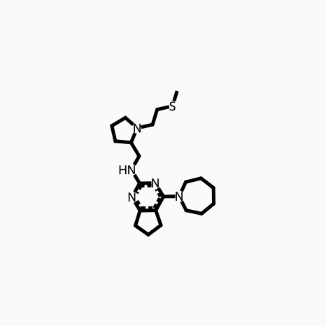 CSCCN1CCCC1CNc1nc2c(c(N3CCCCCC3)n1)CCC2